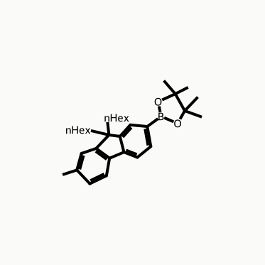 CCCCCCC1(CCCCCC)c2cc(C)ccc2-c2ccc(B3OC(C)(C)C(C)(C)O3)cc21